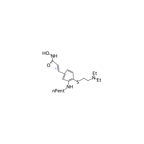 CCCCCNc1cc(/C=C/C(=O)NO)ccc1SCCN(CC)CC